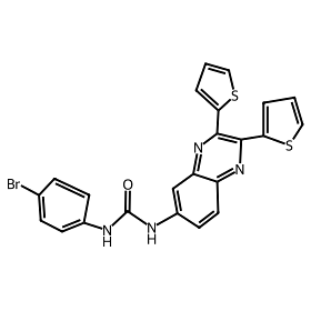 O=C(Nc1ccc(Br)cc1)Nc1ccc2nc(-c3cccs3)c(-c3cccs3)nc2c1